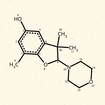 Cc1cc(O)cc2c1OC(N1CCOCC1)C2(C)C